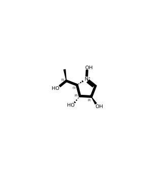 C[C@H](O)[C@H]1[C@@H](O)[C@H](O)C=[N+]1O